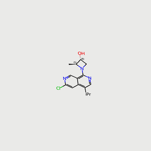 CC(C)c1cnc(N2C[C@@H](O)[C@@H]2C)c2cnc(Cl)cc12